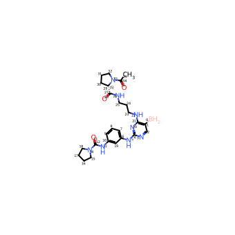 Bc1cnc(Nc2cccc(NC(=O)N3CCCC3)c2)nc1NCCCNC(=O)[C@@H]1CCCN1C(C)=O